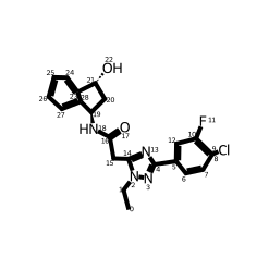 CCn1nc(-c2ccc(Cl)c(F)c2)nc1CC(=O)N[C@@H]1C[C@@H](O)c2ccccc21